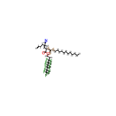 C=CCCC(C)(C#N)CC(SC(=S)SCCCCCCCCCCCC)C(=O)OCCC(F)(F)C(F)(F)C(F)(F)C(F)(F)C(F)(F)C(F)(F)F